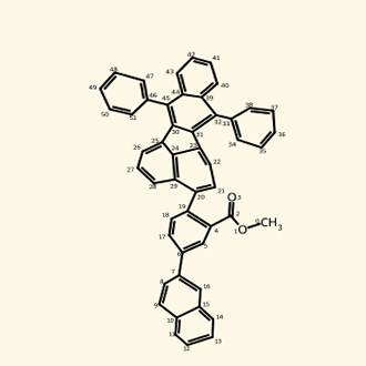 COC(=O)c1cc(-c2ccc3ccccc3c2)ccc1-c1ccc2c3c(cccc13)-c1c-2c(-c2ccccc2)c2ccccc2c1-c1ccccc1